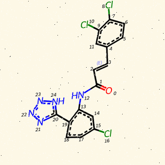 O=C(/C=C/c1ccc(Cl)c(Cl)c1)Nc1cc(Cl)ccc1-c1nnn[nH]1